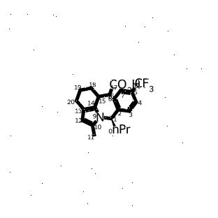 CCC[C@H](c1ccc(C(F)(F)F)cc1)n1c(C)cc2c1C(CC(=O)O)CCC2